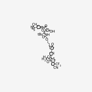 Cc1ncsc1-c1ccc(CNC(=O)[C@@H]2C[C@@H](O)CN2C(=O)[C@@H](NC(=O)COCCCCn2cc(-c3ccc(N4C(=S)N(c5ccc(C#N)c(C(F)(F)F)c5F)C(=O)C4(C)C)cn3)ccc2=O)C(C)(C)C)cc1